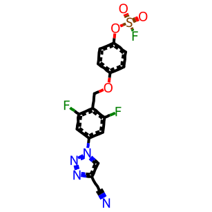 N#Cc1cn(-c2cc(F)c(COc3ccc(OS(=O)(=O)F)cc3)c(F)c2)nn1